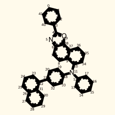 c1ccc(-c2nc3ccc4c(N(c5ccccc5)c5ccc(-c6cccc7ccccc67)cc5)cccc4c3o2)cc1